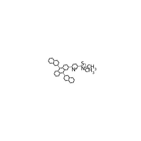 CC1(C)CSC(c2ccc(-c3ccc4c(-c5ccc6ccccc6c5)c5ccccc5c(-c5ccc6ccccc6c5)c4c3)nc2)=N1